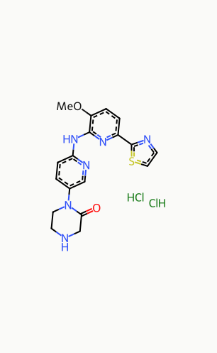 COc1ccc(-c2nccs2)nc1Nc1ccc(N2CCNCC2=O)cn1.Cl.Cl